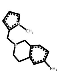 Cn1cccc1CN1CCc2cc(N)ccc2C1